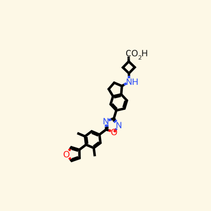 Cc1cc(-c2nc(-c3ccc4c(c3)CCC4NC3CC(C(=O)O)C3)no2)cc(C)c1-c1ccoc1